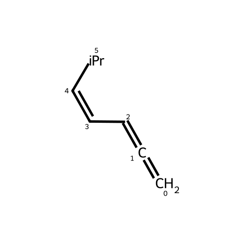 C=C=C/C=C\C(C)C